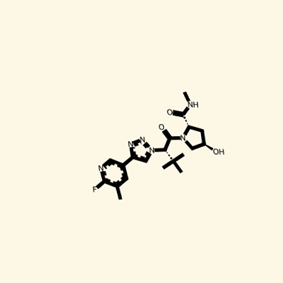 CNC(=O)[C@@H]1C[C@@H](O)CN1C(=O)[C@@H](n1cc(-c2cnc(F)c(C)c2)nn1)C(C)(C)C